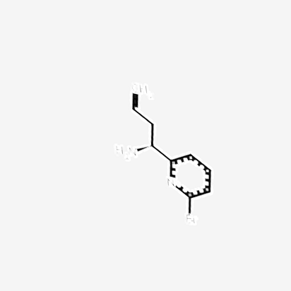 C=CC[C@H](N)c1cccc(Br)n1